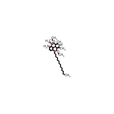 CCCCCCCCCCCCCCCc1ccc(N)c(OCC)c1C1C(C(=O)OCC)=C(C)NC(C)=C1C(=O)OCC